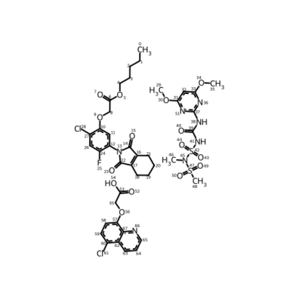 CCCCCOC(=O)COc1cc(N2C(=O)C3=C(CCCC3)C2=O)c(F)cc1Cl.COc1cc(OC)nc(NC(=O)NS(=O)(=O)N(C)S(C)(=O)=O)n1.O=C(O)COc1ccc(Cl)c2cccnc12